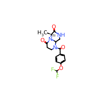 C[C@H]1C(=O)NCC2N(C(=O)c3ccc(OC(F)F)cc3)CCC(=O)N21